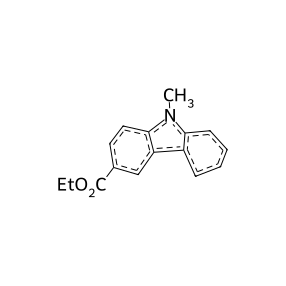 CCOC(=O)c1ccc2c(c1)c1ccccc1n2C